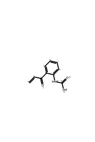 C=CC(=O)c1ccccc1NC(=O)O